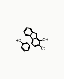 CCc1ccc2c(c1O)Cc1ccccc1-2.Oc1ccccc1